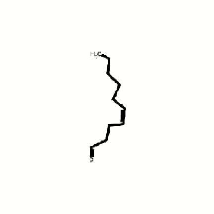 CCCCC/C=C\CC[C]=O